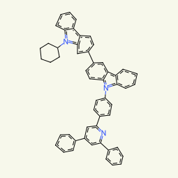 c1ccc(-c2cc(-c3ccccc3)nc(-c3ccc(-n4c5ccccc5c5cc(-c6ccc7c8ccccc8n(C8CCCCC8)c7c6)ccc54)cc3)c2)cc1